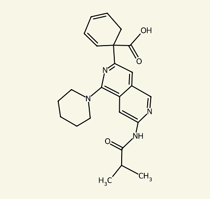 CC(C)C(=O)Nc1cc2c(N3CCCCC3)nc(C3(C(=O)O)C=CC=CC3)cc2cn1